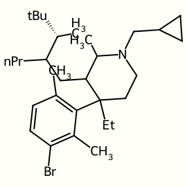 CCCC(CC1C(C)N(CC2CC2)CCC1(CC)c1c(C)ccc(Br)c1C)[C@@H](C)C(C)(C)C